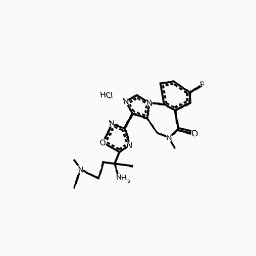 CN(C)CCC(C)(N)c1nc(-c2ncn3c2CN(C)C(=O)c2cc(F)ccc2-3)no1.Cl